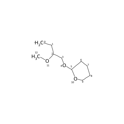 [CH2]CC(COC1CCCCO1)OC